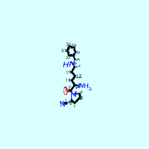 N#C[C@@H]1C=CCN1C(=O)C(N)CCCCNCc1ccccc1